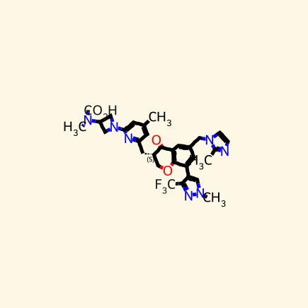 Cc1cc(C[C@H]2COc3c(cc(Cn4ccnc4C)cc3-c3cn(C)nc3C(F)(F)F)C2=O)nc(N2CC(N(C)C(=O)O)C2)c1